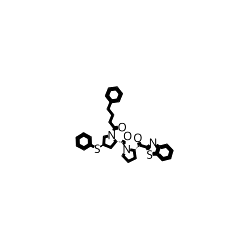 O=C(c1nc2ccccc2s1)[C@@H]1CCCN1C(=O)[C@@H]1C[C@@H](Sc2ccccc2)CN1C(=O)CCCc1ccccc1